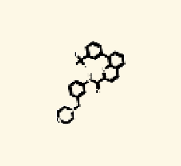 O=C(Nc1cccc(CN2CCOCC2)c1)c1ccc2cccc(-c3cccc(C(F)(F)F)c3)c2n1